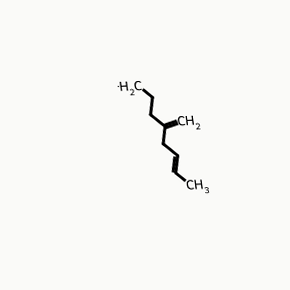 [CH2]CCC(=C)CC=CC